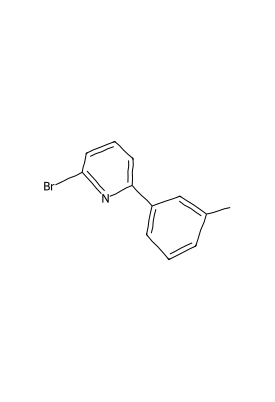 Cc1cccc(-c2cccc(Br)n2)c1